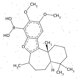 COc1cc2c3c(oc2c(B(O)O)c1OC)C(C)CC[C@@H]1C(C)(C)CCC[C@@]31C